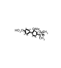 COc1cc(N(C)S(C)(=O)=O)ccc1-c1ccc(C(=O)O)cc1